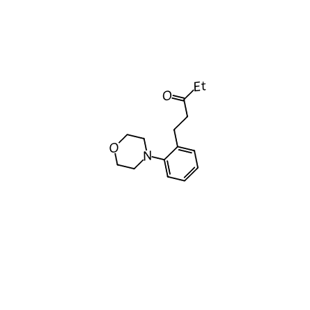 CCC(=O)CCc1ccccc1N1CCOCC1